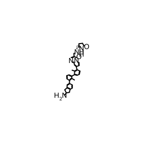 Cc1c(-c2ccc3c(c2)CC(N)C3)cccc1-c1cccc(-c2ccn3c(=O)c(CNC[C@@H]4CCC(=O)N4)cnc3c2)c1C